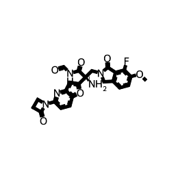 COc1ccc2c(c1F)C(=O)N(C[C@@](N)(C(=O)NC=O)c1cc3nc(N4CCC4=O)ccc3o1)C2